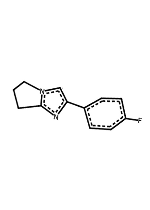 Fc1ccc(-c2[c]n3c(n2)CCC3)cc1